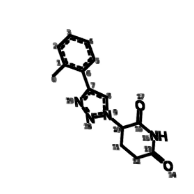 Cc1ccccc1-c1cn(C2CCC(=O)NC2=O)nn1